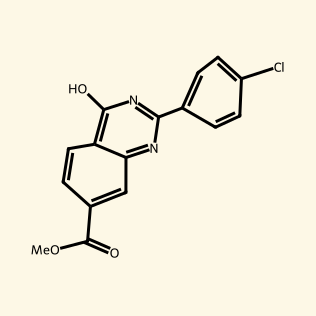 COC(=O)c1ccc2c(O)nc(-c3ccc(Cl)cc3)nc2c1